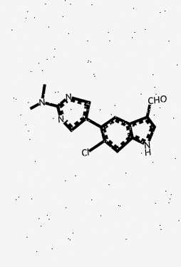 CN(C)c1ncc(-c2cc3c(C=O)c[nH]c3cc2Cl)cn1